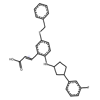 O=C(O)/C=C/c1cc(SCc2ccccc2)ccc1NC1CCC(c2cccc(F)c2)C1